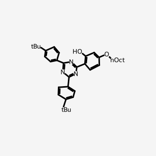 CCCCCCCCOc1ccc(-c2nc(-c3ccc(C(C)(C)C)cc3)nc(-c3ccc(C(C)(C)C)cc3)n2)c(O)c1